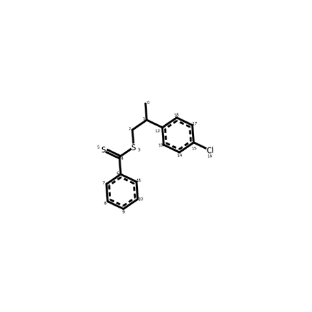 CC(CSC(=S)c1ccccc1)c1ccc(Cl)cc1